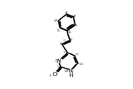 O=c1nc(/C=C/c2ccccc2)cc[nH]1